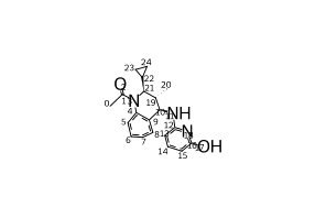 CC(=O)N1c2ccccc2[C@H](Nc2cccc(O)n2)[C@@H](C)[C@@H]1C1CC1